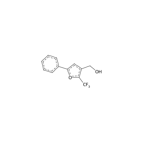 OCc1cc(-c2ccccc2)oc1C(F)(F)F